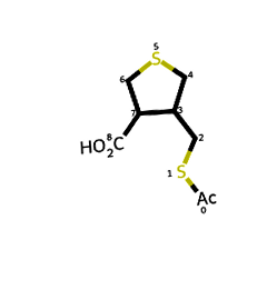 CC(=O)SCC1CSCC1C(=O)O